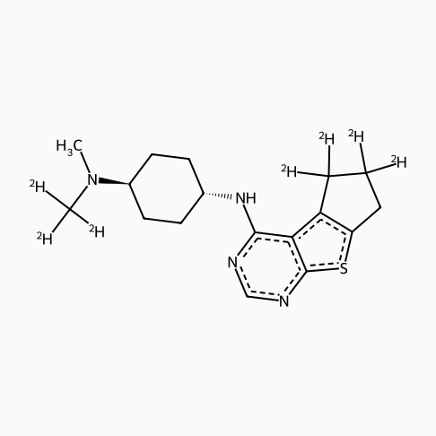 [2H]C([2H])([2H])N(C)[C@H]1CC[C@H](Nc2ncnc3sc4c(c23)C([2H])([2H])C([2H])([2H])C4)CC1